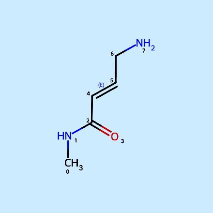 CNC(=O)/C=C/CN